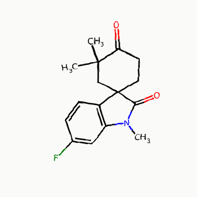 CN1C(=O)C2(CCC(=O)C(C)(C)C2)c2ccc(F)cc21